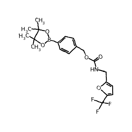 CC1(C)OB(c2ccc(COC(=O)NCc3ccc(C(F)(F)F)o3)cc2)OC1(C)C